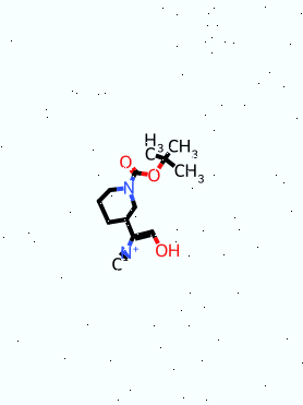 [C-]#[N+]/C(=C\O)C1CCCN(C(=O)OC(C)(C)C)C1